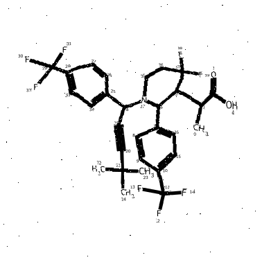 CC(C(=O)O)C1C(c2ccc(C(F)(F)F)cc2)N(C(C#CC(C)(C)C)c2ccc(C(F)(F)F)cc2)CCC1(F)F